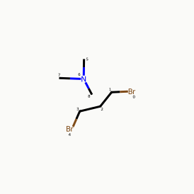 BrCCCBr.CN(C)C